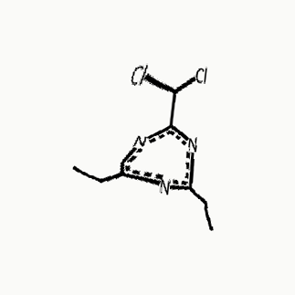 CCc1nc(CC)nc(C(Cl)Cl)n1